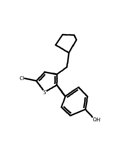 Oc1ccc(-c2sc(Cl)cc2CC2CCCC2)cc1